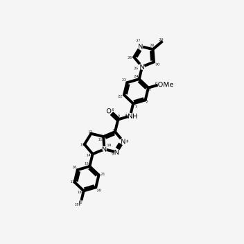 COc1cc(NC(=O)c2nnn3c2CCC3c2ccc(F)cc2)ccc1-n1cnc(C)c1